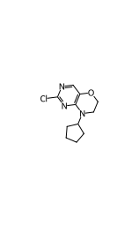 Clc1ncc2c(n1)N(C1CCCC1)CCO2